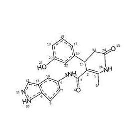 CC1=C(C(=O)Nc2ccc3[nH]ncc3c2)C(c2cccc(O)c2)CC(=O)N1